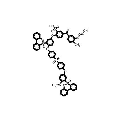 COc1ccc(Oc2ccc(S(=O)(=O)c3ccc(Oc4ccc(Oc5ccc(C(=O)c6ccc(C)c(SOOO)c6)cc5S(=O)(=O)O)cc4P4(=O)Oc5ccccc5-c5ccccc54)cc3)cc2)cc1P1(=O)Oc2ccccc2-c2ccccc21